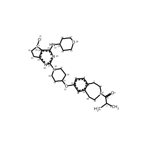 CC(C)C(=O)N1CCc2ccc(OC3CCN(c4nc5c(c(NC6CCOCC6)n4)[S+]([O-])CC5)CC3)cc2CC1